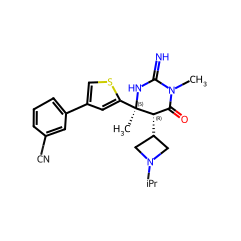 CC(C)N1CC([C@H]2C(=O)N(C)C(=N)N[C@]2(C)c2cc(-c3cccc(C#N)c3)cs2)C1